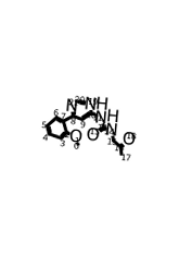 COc1ccccc1-c1cc(NC(=O)NCC(C)=O)ncn1